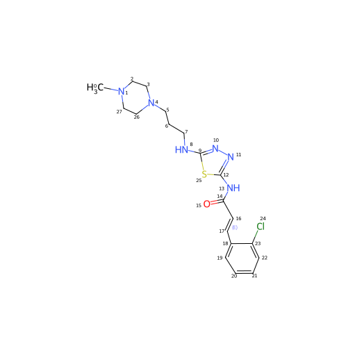 CN1CCN(CCCNc2nnc(NC(=O)/C=C/c3ccccc3Cl)s2)CC1